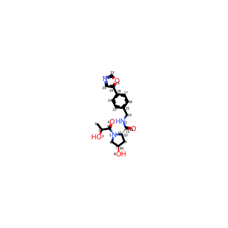 CC(O)C(=O)N1C[C@H](O)C[C@H]1C(=O)NCc1ccc(-c2cnco2)cc1